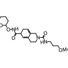 COCCCNC(=O)N1CCC2=CC(C(=O)NOC3CCCCO3)CC=C2C1